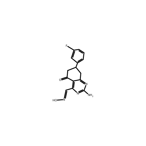 Nc1nc(C=NO)c2c(n1)CC(c1cccc(F)c1)CC2=O